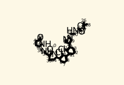 COc1nc(-c2cccc(-c3cccc(-c4cnn(CCNC(=O)OC(C)(C)C)c4)c3Cl)c2Cl)ccc1CNC[C@@H]1CCC(=O)N1